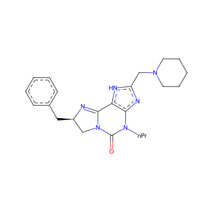 CCCN1C(=O)N2C[C@@H](Cc3ccccc3)N=C2c2[nH]c(CN3CCCCC3)nc21